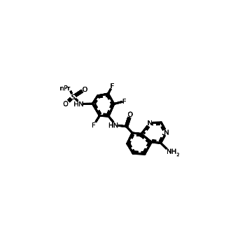 CCCS(=O)(=O)Nc1cc(F)c(F)c(NC(=O)c2cccc3c(N)ncnc23)c1F